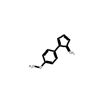 C=C1C=CC=C1c1ccc(OC)cc1